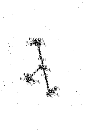 CC(=O)N[C@H]1[C@H](OCCOCCOCCOCC(=O)NCCCC[C@H](NC(=O)COCCOCCOCCO[C@@H]2O[C@H](COC(C)=O)[C@H](OC(C)=O)[C@H](OC(C)=O)[C@H]2NC(C)=O)C(=O)N[C@@H](CCCCNC(=O)COCCOCCOCCO[C@H]2C[C@@H](OC(C)=O)[C@@H](OC(C)=O)[C@@H](COC(C)=O)O2)C(C)=O)O[C@H](COC(C)=O)[C@H](OC(C)=O)[C@@H]1OC(C)=O